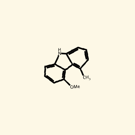 COc1cccc2[nH]c3cccc(C)c3c12